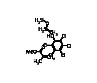 C=C(C)C(=O)OC.C[SiH2]O[SiH3].Oc1c(Cl)c(Cl)c(Cl)c(Cl)c1Cl